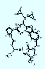 C[C@H](O)CCn1nccc1C(=O)N[C@H](c1nc2cc(CN3C[C@@H](C(F)(F)F)NC3=O)ccc2o1)C(C1CC1)C1CC1